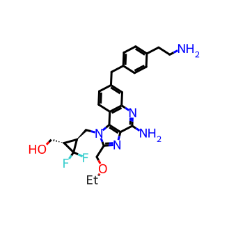 CCOCc1nc2c(N)nc3cc(Cc4ccc(CCN)cc4)ccc3c2n1C[C@@H]1[C@@H](CO)C1(F)F